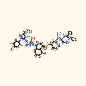 CCc1ncc(Nc2cc(COc3ccc(NC(=O)Nc4cc(C(C)(C)C)nn4-c4ccc(C)cc4)c4ccccc34)ccn2)nc1CC